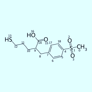 CS(=O)(=O)c1ccc(CC(CCCS)C(=O)O)cc1